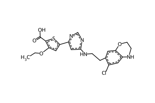 CCOc1cc(-c2cc(NCCc3cc4c(cc3Cl)NCCO4)ncn2)sc1C(=O)O